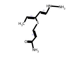 C/C=C(/C=C/NN)S/C=C/C(N)=O